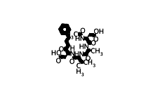 CC(=O)N[C@@H](CC(=O)O)C(=O)N[C@@H](C)C(=O)N[C@H](C(=O)N[C@@H](CC(=O)O)C(=O)CCCc1ccccc1)C(C)C